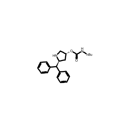 CCCCNC(=O)O[C@H]1CN[C@H](C(c2ccccc2)c2ccccc2)C1